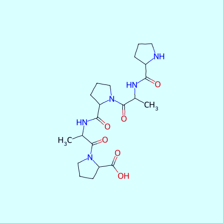 CC(NC(=O)C1CCCN1C(=O)C(C)NC(=O)C1CCCN1)C(=O)N1CCCC1C(=O)O